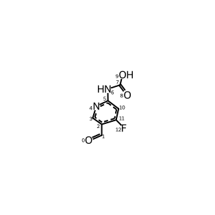 O=Cc1cnc(NC(=O)O)cc1F